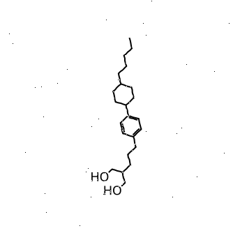 CCCCCC1CCC(c2ccc(CCCC(CO)CO)cc2)CC1